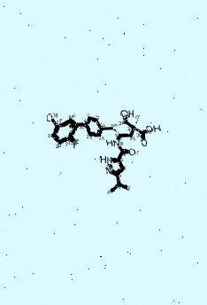 CC(C)c1cc(C(=O)N[C@H](Cc2ccc(-c3cc(Cl)ccc3F)cc2)C[C@@](C)(CO)C(=O)O)[nH]n1